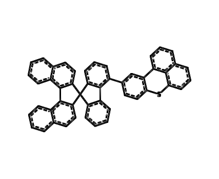 c1ccc2c(c1)-c1c(-c3ccc4c(c3)-c3cccc5cccc(c35)S4)cccc1C21c2ccc3ccccc3c2-c2c1ccc1ccccc21